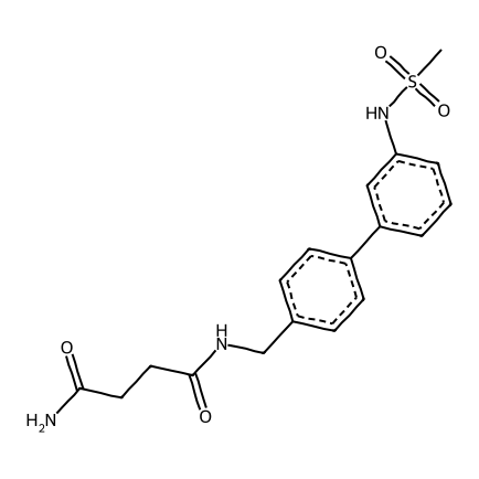 CS(=O)(=O)Nc1cccc(-c2ccc(CNC(=O)CCC(N)=O)cc2)c1